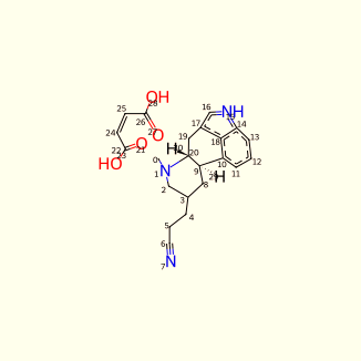 CN1CC(CCC#N)C[C@@H]2c3cccc4[nH]cc(c34)C[C@H]21.O=C(O)/C=C\C(=O)O